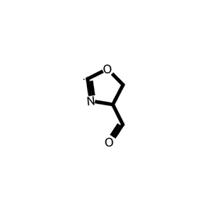 O=CC1CO[C]=N1